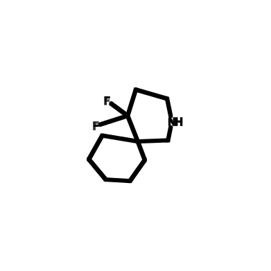 FC1(F)CCNCC12CCCCC2